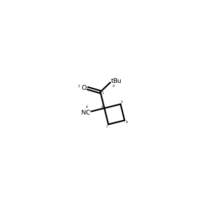 CC(C)(C)C(=O)C1(C#N)CCC1